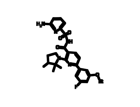 CCOc1cc(F)cc(-c2ccc(C(=O)NS(=O)(=O)c3cccc(N)n3)c(N3CCC(C)C3(C)C)n2)c1